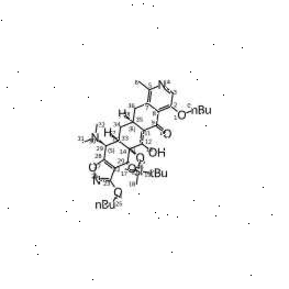 CCCCOc1cnc(C)c2c1C(=O)C1=C(O)[C@]3(O[Si](C)(C)C(C)(C)C)C(=O)c4c(OCCCC)noc4[C@@H](N(C)C)[C@@H]3C[C@@H]1C2